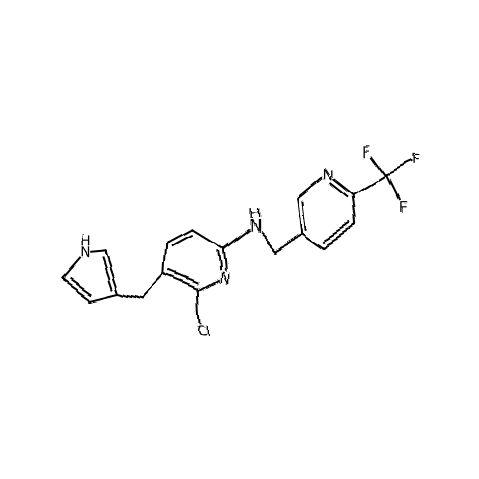 FC(F)(F)c1ccc(CNc2ccc(Cc3cc[nH]c3)c(Cl)n2)cn1